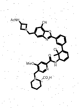 COc1cc(C(=O)NC2C=CC=C(c3cccc(-c4nc5cc(CN6CC(NC(C)=O)C6)cc(C#N)c5o4)c3)C2(C)Cl)ncc1CN1CCCC[C@H]1C(=O)O